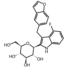 OC[C@H]1O[C@@H](c2[nH]c3cccc(F)c3c2Cc2ccc3occc3c2)[C@H](O)[C@@H](O)[C@@H]1O